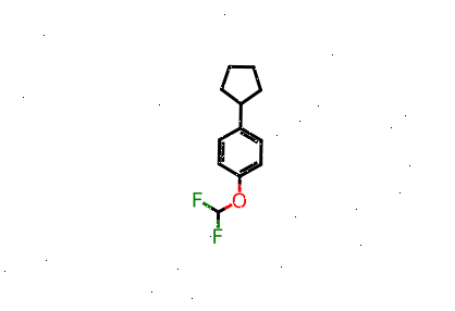 FC(F)Oc1ccc(C2CCCC2)cc1